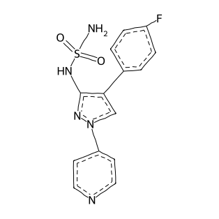 NS(=O)(=O)Nc1nn(-c2ccncc2)cc1-c1ccc(F)cc1